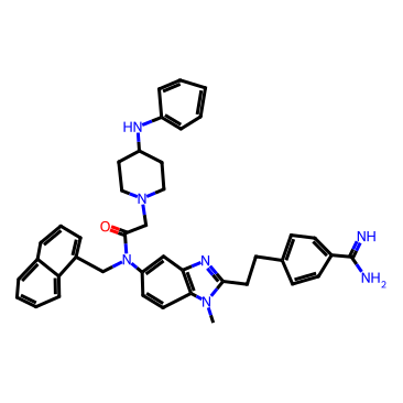 Cn1c(CCc2ccc(C(=N)N)cc2)nc2cc(N(Cc3cccc4ccccc34)C(=O)CN3CCC(Nc4ccccc4)CC3)ccc21